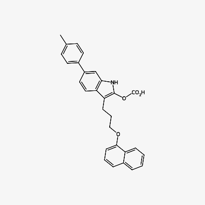 Cc1ccc(-c2ccc3c(CCCOc4cccc5ccccc45)c(OC(=O)O)[nH]c3c2)cc1